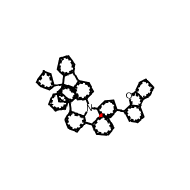 c1ccc(-c2cccc(-c3ccccc3)c2N(c2ccc(-c3cccc4c3oc3ccccc34)cc2)c2ccc3c(c2)C(c2ccccc2)(c2ccccc2)c2ccccc2-3)cc1